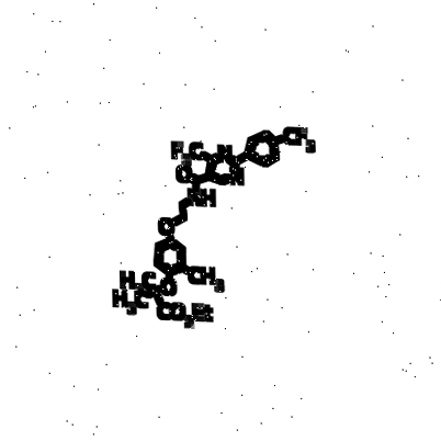 CCOC(=O)C(C)(C)Oc1ccc(OCCNC(=O)c2cnc(-c3ccc(C(F)(F)F)cc3)nc2C(F)(F)F)cc1C